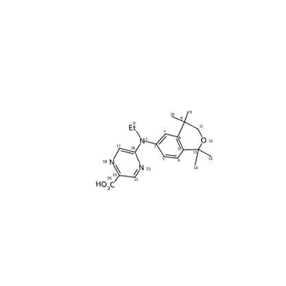 CCN(c1ccc2c(c1)C(C)(C)COC2(C)C)c1cnc(C(=O)O)cn1